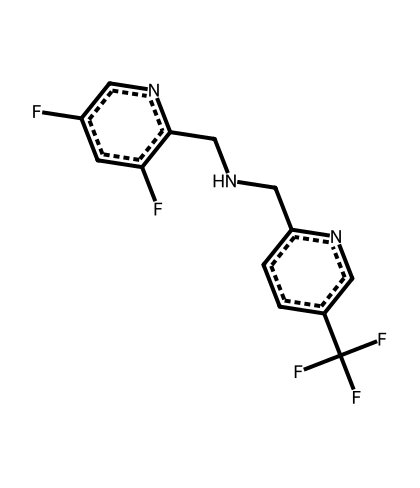 Fc1cnc(CNCc2ccc(C(F)(F)F)cn2)c(F)c1